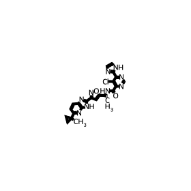 C[C@@H](NC(=O)c1ncnc(-c2ncc[nH]2)c1Cl)c1cc(-c2nc3ccc(C4(C)CC4)nc3[nH]2)no1